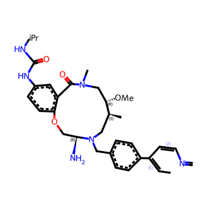 C=N/C=C\C(=C/C)c1ccc(CN2C[C@H](C)[C@@H](OC)CN(C)C(=O)c3cc(NC(=O)NC(C)C)ccc3OC[C@@H]2N)cc1